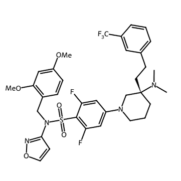 COc1ccc(CN(c2ccon2)S(=O)(=O)c2c(F)cc(N3CCC[C@@](CCc4cccc(C(F)(F)F)c4)(N(C)C)C3)cc2F)c(OC)c1